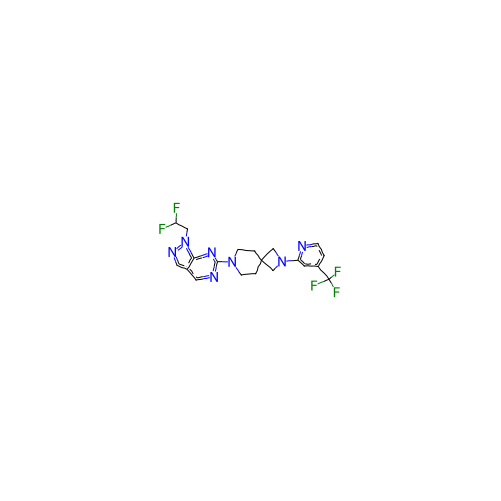 FC(F)Cn1ncc2cnc(N3CCC4(CC3)CN(c3cc(C(F)(F)F)ccn3)C4)nc21